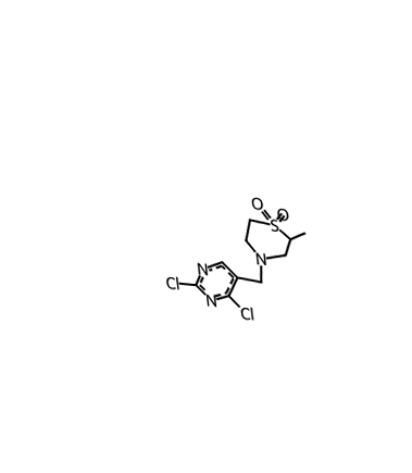 CC1CN(Cc2cnc(Cl)nc2Cl)CCS1(=O)=O